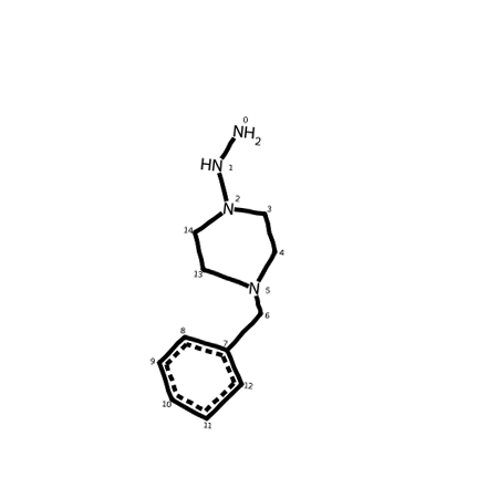 NNN1CCN(Cc2ccccc2)CC1